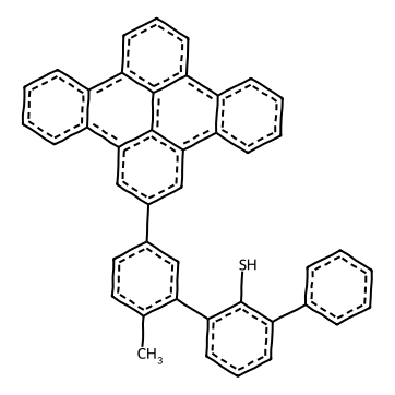 Cc1ccc(-c2cc3c4ccccc4c4cccc5c6ccccc6c(c2)c3c45)cc1-c1cccc(-c2ccccc2)c1S